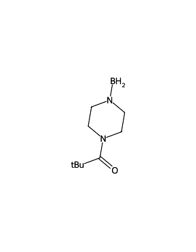 BN1CCN(C(=O)C(C)(C)C)CC1